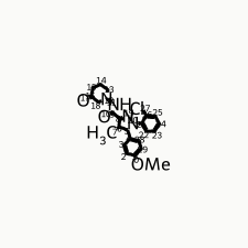 COc1ccc(C2C(C)C(C(=O)NN3CCCC(=O)C3)=NN2c2ccccc2Cl)cc1